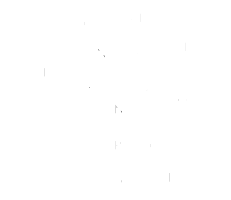 CCOP(=O)(OCC)N1C(=O)C(C)(C)N([O])C1(C)C